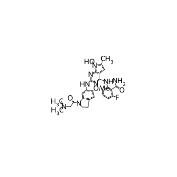 COc1cc2c(cc1Nc1nc(Nc3cccc(F)c3C(N)=O)c3cc(C)n(O)c3n1)N(C(=O)CN(C)C)CC2